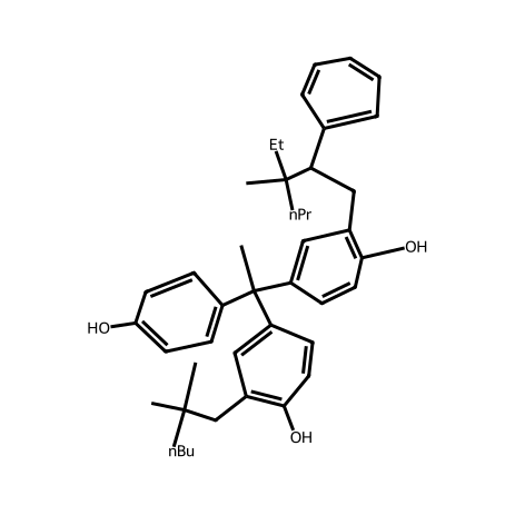 CCCCC(C)(C)Cc1cc(C(C)(c2ccc(O)cc2)c2ccc(O)c(CC(c3ccccc3)C(C)(CC)CCC)c2)ccc1O